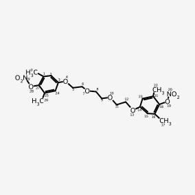 Cc1cc(OCCOCCOCCOc2cc(C)c(O[N+](=O)[O-])c(C)c2)cc(C)c1O[N+](=O)[O-]